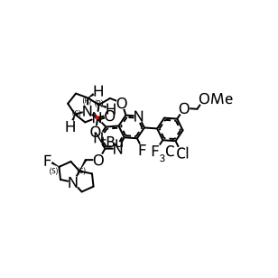 COCOc1cc(Cl)c(C(F)(F)F)c(-c2nc3c4c(nc(OC[C@@]56CCCN5C[C@@H](F)C6)nc4c2F)N2C[C@@H]4CC[C@H]([C@@H]2CO3)N4C(=O)OC(C)(C)C)c1